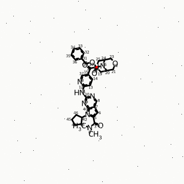 CN(C)C(=O)c1cc2cnc(Nc3ccc(C(=O)N4CC5COCC(C4)N5C(=O)OCc4ccccc4)cn3)nc2n1C1CCCC1